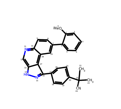 COc1ccccc1-c1ccc2ncc3[nH]nc(-c4ccc(C(C)(C)C#N)cc4)c3c2c1